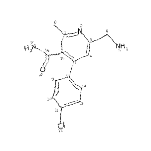 Cc1nc(CN)cc(-c2ccc(Cl)cc2)c1C(N)=O